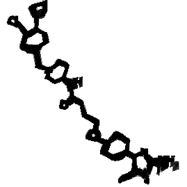 CC1SC(N)=NC1c1ccc(OCCCC(=O)NC2CCN(Cc3ccc(Cl)c(Cl)c3)CC2)cc1